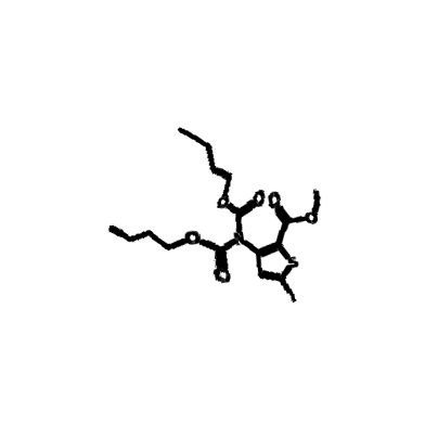 CCCCOC(=O)N(C(=O)OCCCC)c1cc(I)sc1C(=O)OC